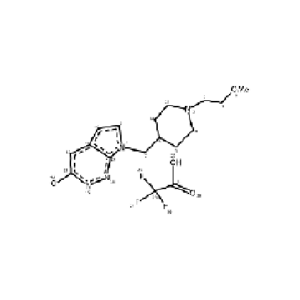 COCCN1CCC(Cn2ccc3cc(Cl)nnc32)CC1.O=C(O)C(F)(F)F